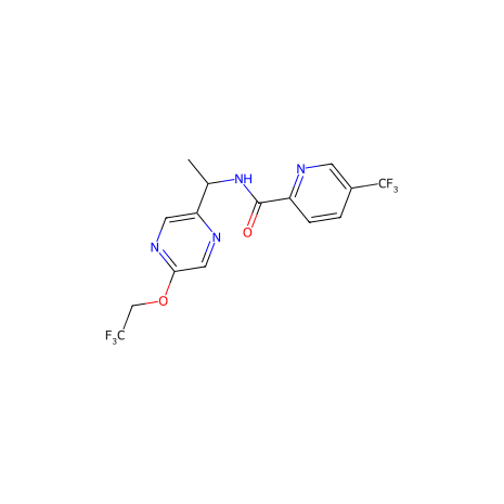 CC(NC(=O)c1ccc(C(F)(F)F)cn1)c1cnc(OCC(F)(F)F)cn1